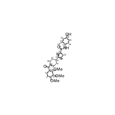 COc1ccc(C(=O)N2CCC(c3nc(C(=O)Nc4ccc(O)cc4C)cs3)CC2)c(OC)c1OC